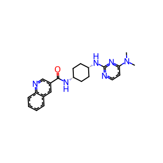 CN(C)c1ccnc(N[C@H]2CC[C@@H](NC(=O)c3cnc4ccccc4c3)CC2)n1